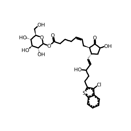 O=C(CCC/C=C\C[C@H]1C(=O)C(O)C[C@@H]1/C=C/C(O)CCc1sc2ccccc2c1Cl)OC1O[C@H](CO)[C@@H](O)[C@H](O)[C@H]1O